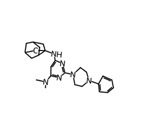 CN(C)c1cc(NC23CC4CC(CC2C4)C3)nc(N2CCN(c3ccccc3)CC2)n1